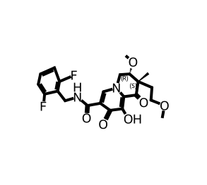 COCC[C@]1(C)C(=O)c2c(O)c(=O)c(C(=O)NCc3c(F)cccc3F)cn2C[C@@H]1OC